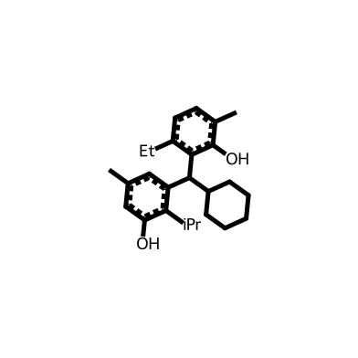 CCc1ccc(C)c(O)c1C(c1cc(C)cc(O)c1C(C)C)C1CCCCC1